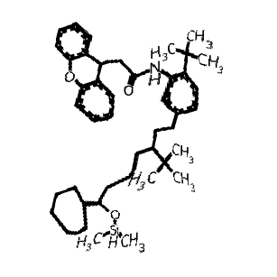 C[SiH](C)OC(CCCC(CCc1ccc(C(C)(C)C)c(NC(=O)CC2c3ccccc3Oc3ccccc32)c1)C(C)(C)C)C1CCCCC1